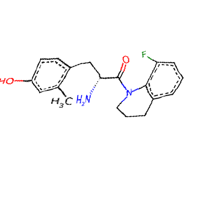 Cc1cc(O)ccc1C[C@@H](N)C(=O)N1CCCc2cccc(F)c21